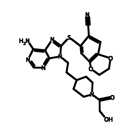 N#Cc1cc2c(cc1Sc1nc3c(N)ncnc3n1CCC1CCN(C(=O)CO)CC1)OCCO2